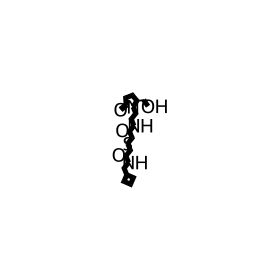 O=C(CSCC(=O)NCC1CCC1)NCCN1C(=O)CC[C@H]1CO